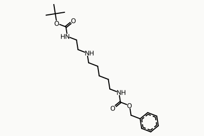 CC(C)(C)OC(=O)NCCNCCCCCNC(=O)OCc1ccccc1